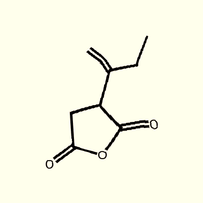 C=C(CC)C1CC(=O)OC1=O